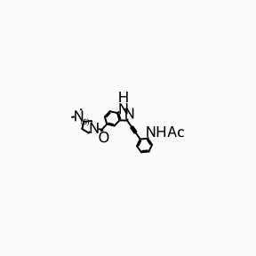 CC(=O)Nc1ccccc1C#Cc1n[nH]c2ccc(C(=O)N3CC[C@H](N(C)C)C3)cc12